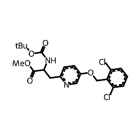 COC(=O)C(Cc1ccc(OCc2c(Cl)cccc2Cl)cn1)NC(=O)OC(C)(C)C